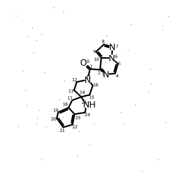 O=C(c1nccn2nccc12)N1CCC2(CC1)Cc1ccccc1CN2